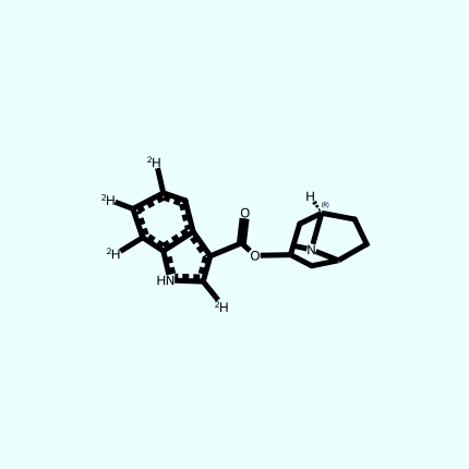 [2H]c1cc2c(C(=O)OC3CC4CC[C@H](C3)N4C)c([2H])[nH]c2c([2H])c1[2H]